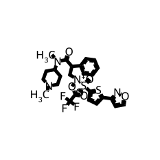 CN1CCC(N(C)C(=O)C2C[N+](OC(=O)C(F)(F)F)(S(=O)(=O)c3ccc(-c4ccon4)s3)c3ccccc32)CC1